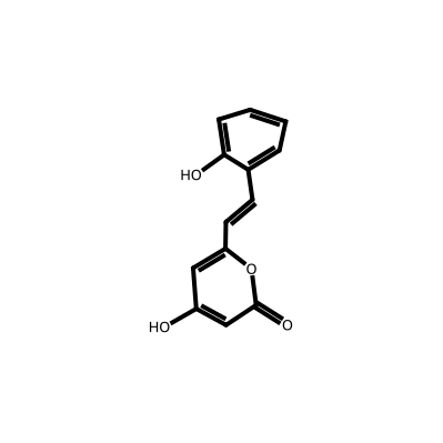 O=c1cc(O)cc(/C=C/c2ccccc2O)o1